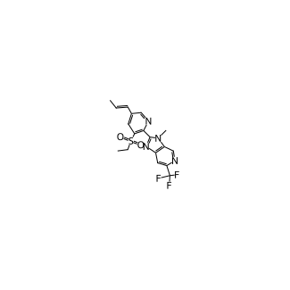 C/C=C/c1cnc(-c2nc3cc(C(F)(F)F)ncc3n2C)c(S(=O)(=O)CC)c1